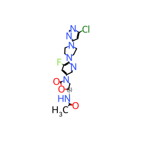 CC(=O)NC[C@H]1CN(c2cnc(N3CCN(c4cc(Cl)ncn4)CC3)c(F)c2)C(=O)O1